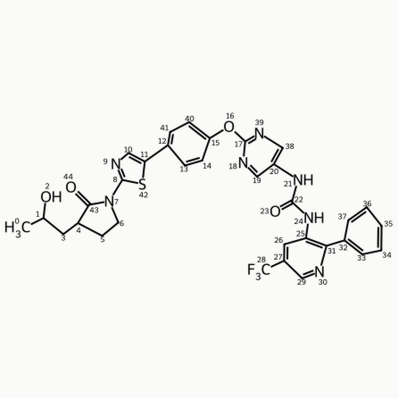 CC(O)CC1CCN(c2ncc(-c3ccc(Oc4ncc(NC(=O)Nc5cc(C(F)(F)F)cnc5-c5ccccc5)cn4)cc3)s2)C1=O